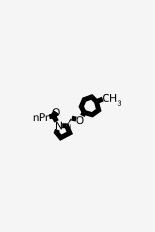 CCCC(=O)N1CCC[C@H]1COC1CCCC(C)CC1